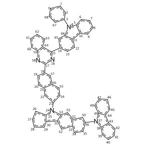 c1ccc(-n2c3ccccc3c3ccc(-c4nc(-c5ccc6cc(-n7c8ccccc8c8cc9ccc(-n%10c%11ccccc%11c%11ccccc%11%10)cc9cc87)ccc6c5)nc5ccccc45)cc32)cc1